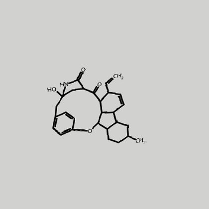 C=CC1C=CC2C3CC(C)CCC3C3Oc4ccc(cc4)CC4(O)CC(C(=O)N4)C(=O)C1C23